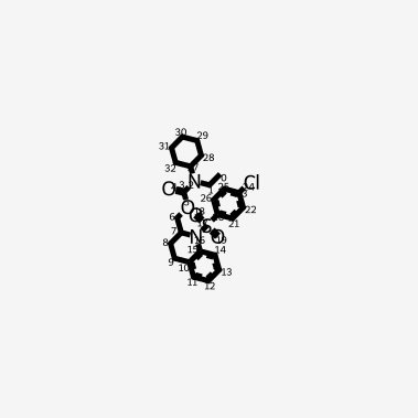 CCN(C(=O)OCC1CCc2ccccc2N1S(=O)(=O)c1ccc(Cl)cc1)C1CCCCC1